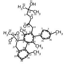 Cc1ccc(-c2c(C)c3c(c(C)c2CC(=O)OCC(C)(C)O)N(S(C)(=O)=O)Cc2cccc(C)c2-3)cc1